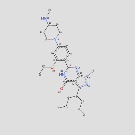 CCCC(CCC)c1nn(C)c2nc(-c3ccc(N4CCC(NC)CC4)cc3OCC)[nH]c(=O)c12